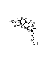 CC(CCCCC(=O)O)[C@H]1CCC2C3CCC4CC(O)CC[C@]4(C)C3CC(O)[C@@]21C